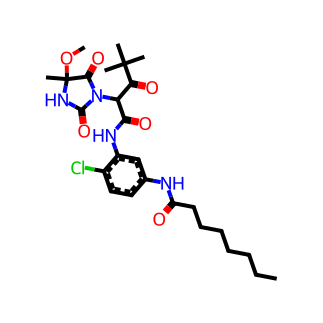 CCCCCCCC(=O)Nc1ccc(Cl)c(NC(=O)C(C(=O)C(C)(C)C)N2C(=O)NC(C)(OC)C2=O)c1